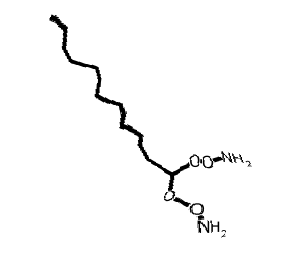 CCCCCCCCCC(OON)OON